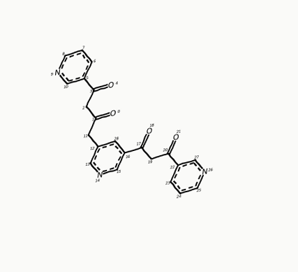 O=C(CC(=O)c1cccnc1)Cc1cncc(C(=O)CC(=O)c2cccnc2)c1